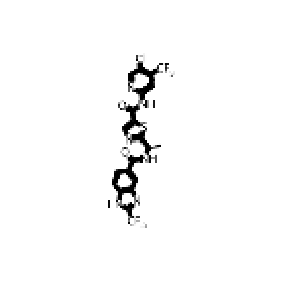 C[C@@H](NC(=O)c1ccc2[nH]c(C(F)(F)F)nc2c1)c1ncc(C(=O)Nc2cc(C(F)(F)F)c(Cl)cn2)s1